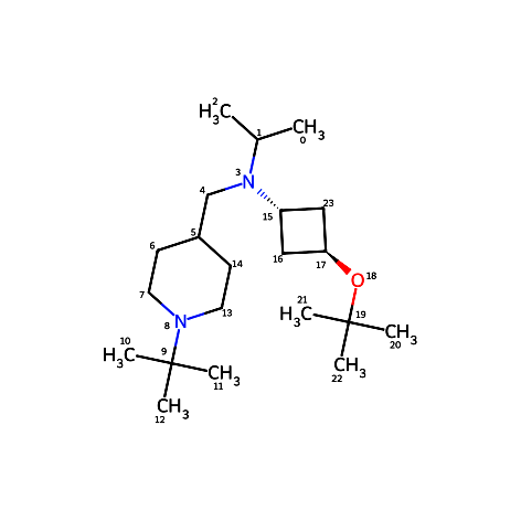 CC(C)N(CC1CCN(C(C)(C)C)CC1)[C@H]1C[C@H](OC(C)(C)C)C1